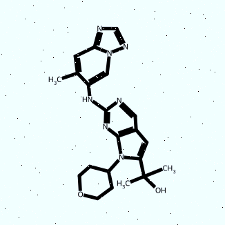 Cc1cc2ncnn2cc1Nc1ncc2cc(C(C)(C)O)n(C3CCOCC3)c2n1